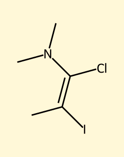 C/C(I)=C(/Cl)N(C)C